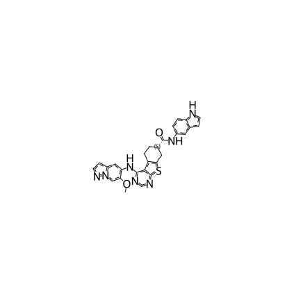 COc1cn2nccc2cc1Nc1ncnc2sc3c(c12)CC[C@H](C(=O)Nc1ccc2[nH]ccc2c1)C3